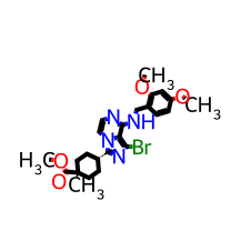 COc1ccc(CNc2nccn3c2c(Br)nc3[C@H]2CC[C@](C)(C(=O)OC)CC2)c(OC)c1